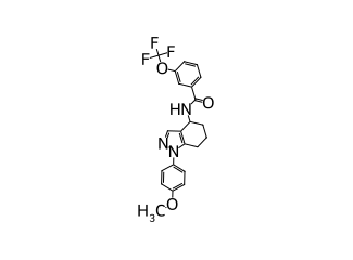 COc1ccc(-n2ncc3c2CCCC3NC(=O)c2cccc(OC(F)(F)F)c2)cc1